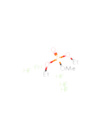 CCOP(=O)(OC)OCC.F.F.F.F.F